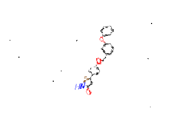 O=c1cc(-c2ccc(OCc3cccc(Oc4ccccc4)c3)cc2)s[nH]1